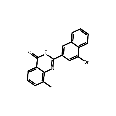 Cc1cccc2c(=O)[nH]c(-c3cc(Br)c4ccccc4c3)nc12